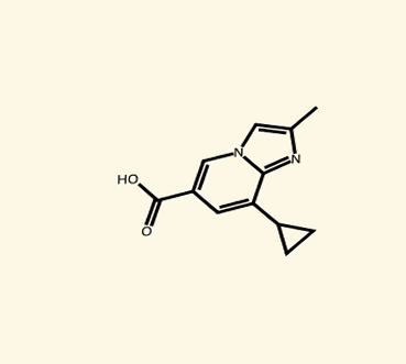 Cc1cn2cc(C(=O)O)cc(C3CC3)c2n1